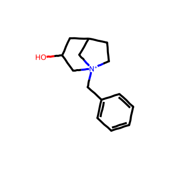 OC1CC2CC[N+](Cc3ccccc3)(C1)C2